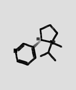 CC(C)[N+]1(C)CCC[C@H]1c1cccnc1